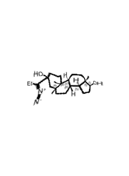 CCC(=[N+]=[N-])C1(O)CC[C@]2(C)[C@H]3CC[C@]4(C)[C@@H](O)CC[C@H]4[C@@H]3CC[C@]2(C)C1